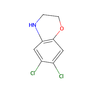 Clc1cc2c(cc1Cl)OCCN2